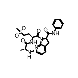 CN[C@@H](C)C(=O)N[C@@H](CCS(C)(=O)=O)C(=O)N1c2ncccc2CC1C(=O)Nc1ccccc1